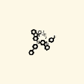 CC1(C)c2ccccc2-c2ccc(N(c3ccc(-c4ccccc4)cc3)c3ccc4c(c3)c3ccccc3n4-c3ccc(F)cc3)cc21